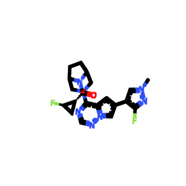 Cn1cc(-c2cc3c(N4CC5CCC(C4)N5C(=O)[C@@H]4C[C@H]4F)ncnn3c2)c(F)n1